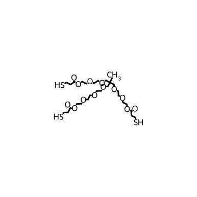 CCC(COCCOCCOCCOC(=O)CCS)(COCCOCCOC(=O)CCS)COCCOCCOC(=O)CCS